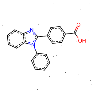 O=C(O)c1ccc(-c2nc3ccccc3n2-c2ccccc2)cc1